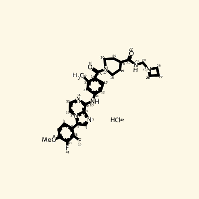 COc1ccc(-c2cnc3c(Nc4ccc(C(=O)N5CCC(C(=O)NCN6CCC6)CC5)c(C)c4)nccn23)c(F)c1F.Cl